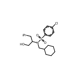 CC(C)CC(CO)N(CC1CCCCC1)S(=O)(=O)c1ccc(Cl)cc1